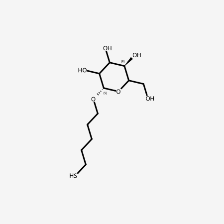 OCC1O[C@H](OCCCCCS)C(O)C(O)[C@H]1O